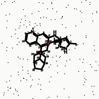 Cc1cc(Nc2cc3ncccc3c(N3CC4CCC(C3)C4NCCC#N)n2)n[nH]1